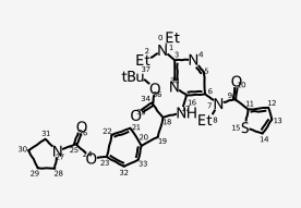 CCN(CC)c1ncc(N(CC)C(=O)c2cccs2)c(NC(Cc2ccc(OC(=O)N3CCCC3)cc2)C(=O)OC(C)(C)C)n1